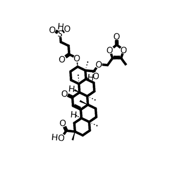 Cc1oc(=O)oc1COC(=O)[C@]1(C)[C@@H](OC(=O)CC[SH](=O)=O)CC[C@@]2(C)[C@H]1CC[C@]1(C)[C@@H]2C(=O)C=C2[C@@H]3C[C@@](C)(C(=O)O)CC[C@]3(C)CC[C@]21C